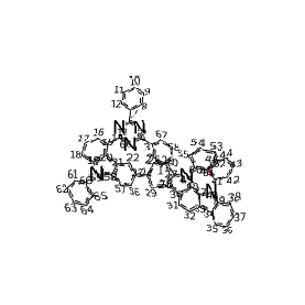 c1ccc(-c2nc(-c3ccccc3)nc(-c3cccc4c3c3cc(-c5ccc6c(c5)c5ccc7c8ccccc8n(-c8ccccc8)c7c5n6-c5ccccc5)ccc3n4-c3ccccc3)n2)cc1